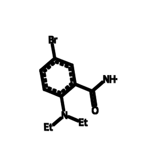 CCN(CC)c1ccc(Br)cc1C([NH])=O